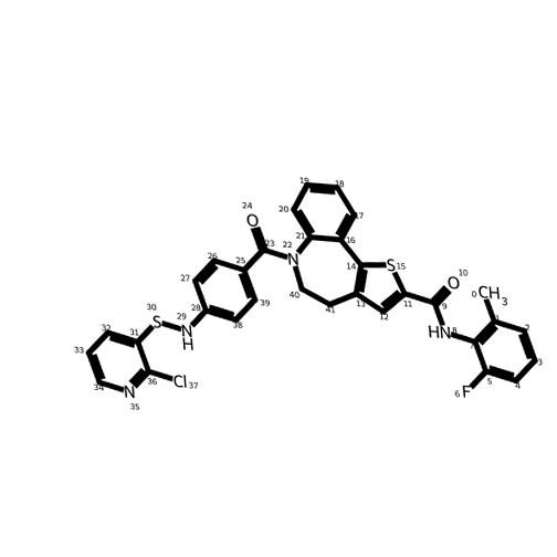 Cc1cccc(F)c1NC(=O)c1cc2c(s1)-c1ccccc1N(C(=O)c1ccc(NSc3cccnc3Cl)cc1)CC2